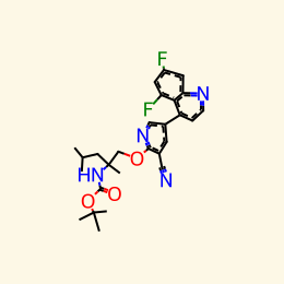 CC(C)CC(C)(COc1ncc(-c2ccnc3cc(F)cc(F)c23)cc1C#N)NC(=O)OC(C)(C)C